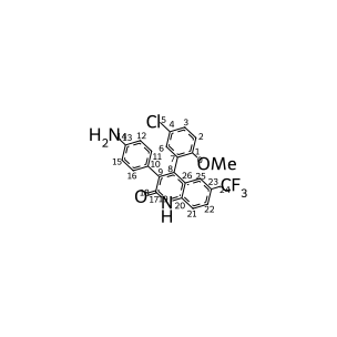 COc1ccc(Cl)cc1-c1c(-c2ccc(N)cc2)c(=O)[nH]c2ccc(C(F)(F)F)cc12